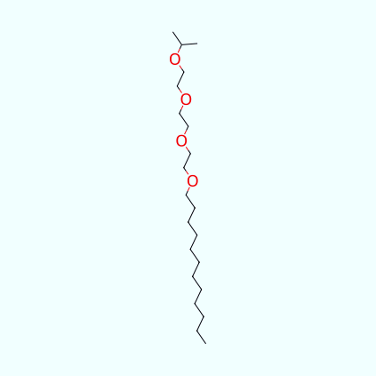 CCCCCCCCCCCCOCCOCCOCCOC(C)C